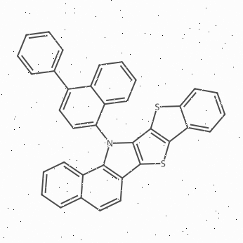 c1ccc(-c2ccc(-n3c4c5ccccc5ccc4c4sc5c6ccccc6sc5c43)c3ccccc23)cc1